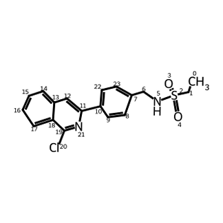 CCS(=O)(=O)NCc1ccc(-c2cc3ccccc3c(Cl)n2)cc1